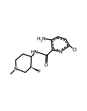 CN1CC[C@@H](NC(=O)c2nc(Cl)ccc2N)[C@@H](F)C1